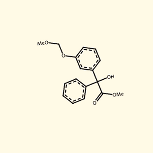 COCOc1cccc(C(O)(C(=O)OC)c2ccccc2)c1